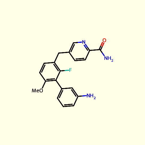 COc1ccc(Cc2ccc(C(N)=O)nc2)c(F)c1-c1cccc(N)c1